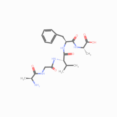 CC(C)[C@H](NC(=O)CNC(=O)[C@H](C)N)C(=O)N[C@@H](Cc1ccccc1)C(=O)N[C@@H](C)C(=O)O